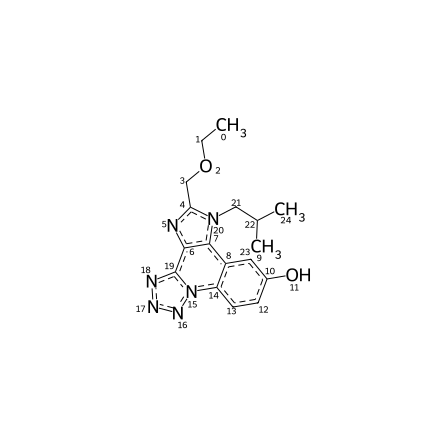 CCOCc1nc2c(c3cc(O)ccc3n3nnnc23)n1CC(C)C